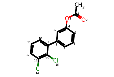 CC(=O)Oc1cccc(-c2cc[c]c(Cl)c2Cl)c1